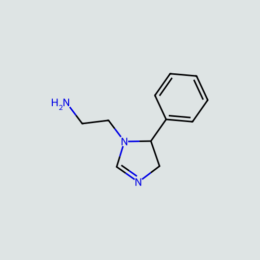 NCCN1C=NCC1c1ccccc1